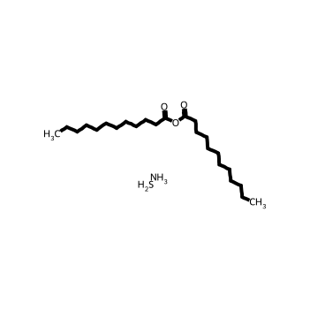 CCCCCCCCCCCC(=O)OC(=O)CCCCCCCCCCC.N.S